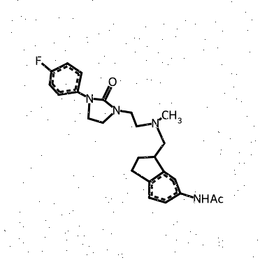 CC(=O)Nc1ccc2c(c1)C(CN(C)CCN1CCN(c3ccc(F)cc3)C1=O)CC2